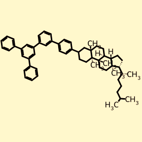 CC(C)CCC[C@@H](C)[C@H]1CC[C@H]2[C@@H]3CC[C@@]4(C)CC(c5ccc(-c6cccc(-c7cc(-c8ccccc8)cc(-c8ccccc8)c7)c6)cc5)CC[C@]4(C)[C@@]3(C)CC[C@]12C